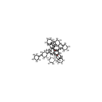 C1=CCC(c2ccccc2-c2ccc(-c3ccccc3)c(-n3c4ccccc4c4ccc5c6ccccc6n(C6NC(c7ccc(-c8ccccc8)cc7)=NC(c7ccccc7)N6)c5c43)c2)C=C1